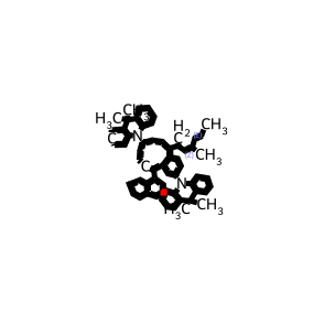 C=C(/C=C(C)\C=C\C)c1ccc(N2c3ccccc3C(C)(C)c3ccccc32)cccc(-c2cccc3ccccc23)c2cc(N3c4ccccc4C(C)(C)c4ccccc43)ccc12